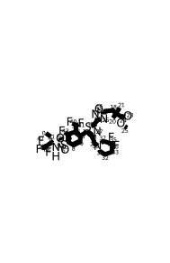 CC[C@H](NS(=O)(=O)c1ccc(-c2sc(-c3noc(CC(C)(C)C(=O)OC)n3)nc2CN2CCCC(F)(F)C2)c(C(F)F)c1F)C(F)(F)F